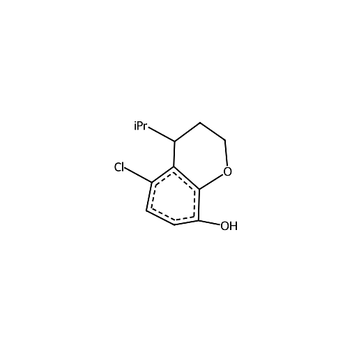 CC(C)C1CCOc2c(O)ccc(Cl)c21